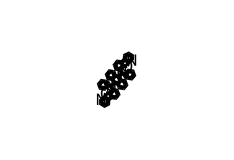 c1ccc(N(c2c3ccccc3c(N(c3ccccc3)c3cccc4c3oc3ncccc34)c3ccccc23)c2cccc3c2oc2ncccc23)cc1